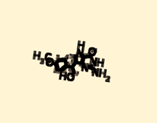 COc1ccc(C(CO)c2c[nH]c3c(=O)[nH]c(N)nc23)cc1